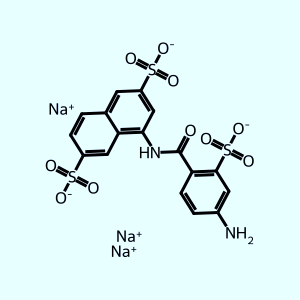 Nc1ccc(C(=O)Nc2cc(S(=O)(=O)[O-])cc3ccc(S(=O)(=O)[O-])cc23)c(S(=O)(=O)[O-])c1.[Na+].[Na+].[Na+]